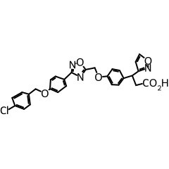 O=C(O)CC(c1ccc(OCc2nc(-c3ccc(OCc4ccc(Cl)cc4)cc3)no2)cc1)c1ccon1